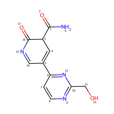 NC(=O)C1C=C(c2ccnc(CO)n2)C=NC1=O